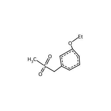 CCOc1cccc(CS(C)(=O)=O)c1